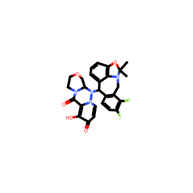 CC1(C)Oc2cccc3c2N1Cc1c(ccc(F)c1F)C3N1C2COCCN2C(=O)c2c(O)c(=O)ccn21